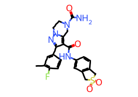 Cc1cc(-c2nn3c(c2C(=O)Nc2ccc4c(c2)CS(=O)(=O)C4)CN(C(N)=O)CC3)ccc1F